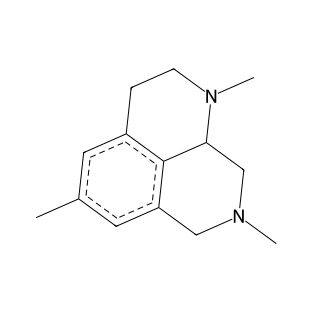 Cc1cc2c3c(c1)CN(C)CC3N(C)CC2